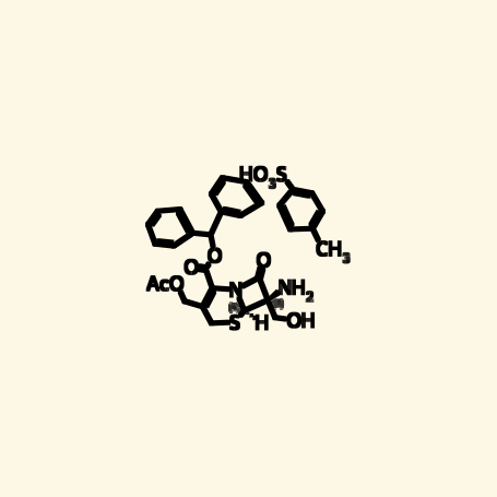 CC(=O)OCC1=C(C(=O)OC(c2ccccc2)c2ccccc2)N2C(=O)[C@](N)(CO)[C@H]2SC1.Cc1ccc(S(=O)(=O)O)cc1